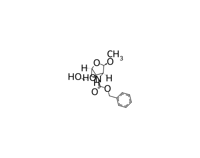 CO[C@@H]1O[C@H]2[C@H](O)[C@@H]1N(C(=O)OCc1ccccc1)[C@@H]2CO